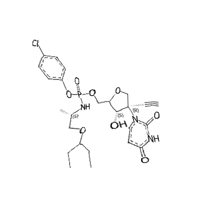 C#C[C@@]1(n2ccc(=O)[nH]c2=O)COC(COP(=O)(N[C@@H](C)COC(CC)CC)Oc2ccc(Cl)cc2)[C@H]1O